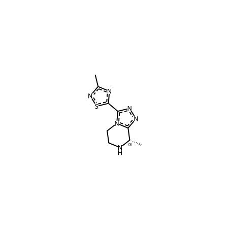 Cc1nsc(-c2nnc3n2CCN[C@H]3C)n1